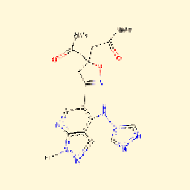 CCn1ncc2c(Nn3cnnc3)c(C3=NOC(CC(=O)NC)(C(=O)NC)C3)cnc21